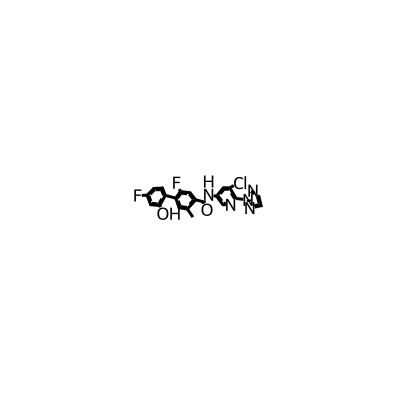 Cc1cc(-c2ccc(F)cc2O)c(F)cc1C(=O)Nc1cnc(-n2nccn2)c(Cl)c1